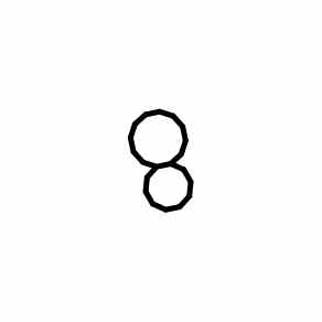 C1CCCCCC2CCCCCCCCC2CCCC1